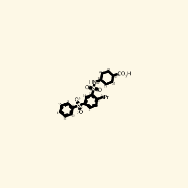 CC(C)c1ccc(S(=O)(=O)c2ccccc2)cc1S(=O)(=O)NC1CCC(C(=O)O)CC1